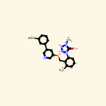 COc1cccc(-c2cncc(OCc3c(C)cccc3-n3nnn(C)c3=O)c2)c1